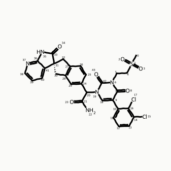 CS(=O)(=O)CCn1c(=O)c(-c2cccc(Cl)c2Cl)cn(C(C(N)=O)c2ccc3c(c2)C[C@@]2(C3)C(=O)Nc3ncccc32)c1=O